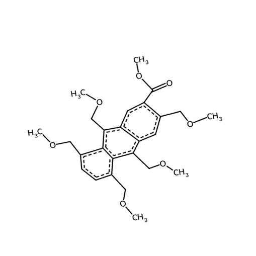 COCc1cc2c(COC)c3c(COC)ccc(COC)c3c(COC)c2cc1C(=O)OC